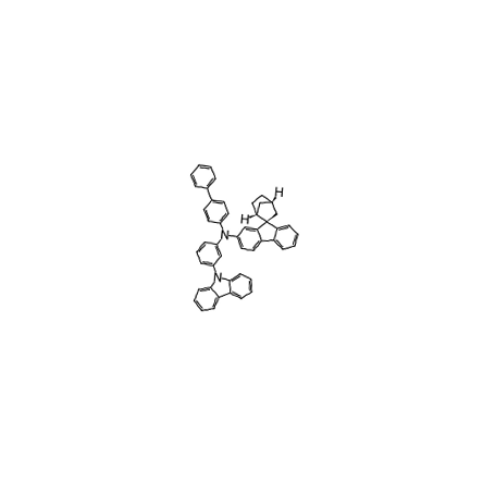 c1ccc(-c2ccc(N(c3cccc(-n4c5ccccc5c5ccccc54)c3)c3ccc4c(c3)[C@@]3(C[C@H]5CC[C@@H]3C5)c3ccccc3-4)cc2)cc1